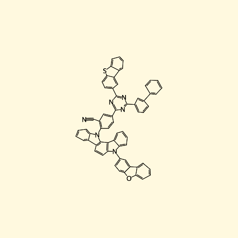 N#Cc1cc(-c2nc(-c3cccc(-c4ccccc4)c3)nc(-c3ccc4sc5ccccc5c4c3)n2)ccc1-n1c2ccccc2c2ccc3c(c4ccccc4n3-c3ccc4oc5ccccc5c4c3)c21